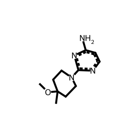 COC1(C)CCN(c2nccc(N)n2)CC1